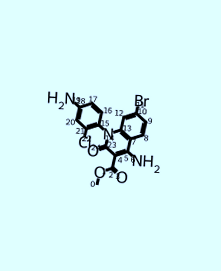 COC(=O)c1c(N)c2ccc(Br)cc2n(-c2ccc(N)cc2Cl)c1=O